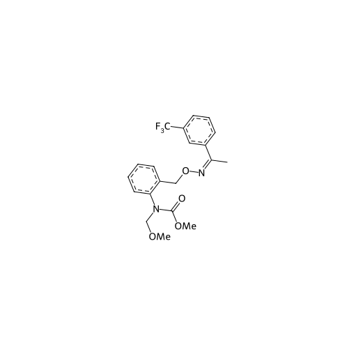 COCN(C(=O)OC)c1ccccc1CON=C(C)c1cccc(C(F)(F)F)c1